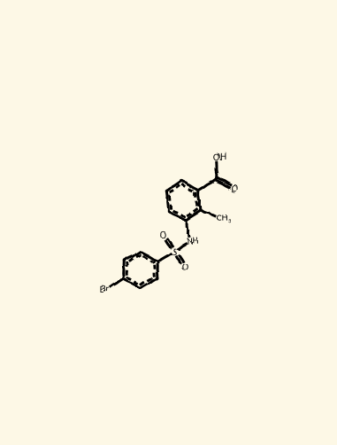 Cc1c(NS(=O)(=O)c2ccc(Br)cc2)cccc1C(=O)O